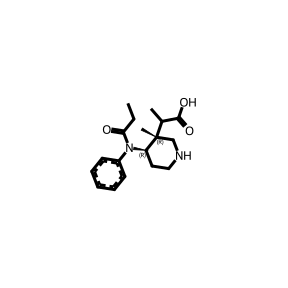 CCC(=O)N(c1ccccc1)[C@@H]1CCNC[C@@]1(C)C(C)C(=O)O